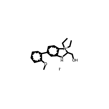 CC[N+]1(CC)c2ccc(-c3ccccc3OC)cc2NC1CO.[I-]